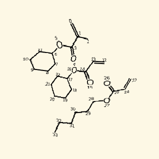 C=C(C)C(=O)OC1CCCCC1.C=CC(=O)OC1CCCCC1.C=CC(=O)OCCCCCC